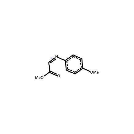 COC(=O)/C=N\c1ccc(OC)cc1